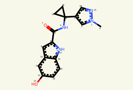 Cn1cc(C2(NC(=O)c3cc4cc(O)ccc4[nH]3)CC2)cn1